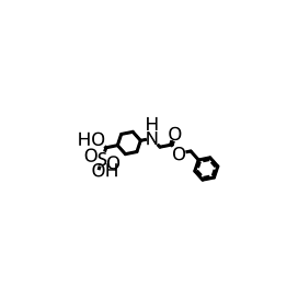 O=C(CNC1CCC(C(O)S(=O)(=O)O)CC1)OCc1ccccc1